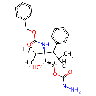 CC(C)[C@](NC(=O)OCc1ccccc1)(C(c1ccccc1)C(C)(C)C)[C@@H](O)COC(=O)NN